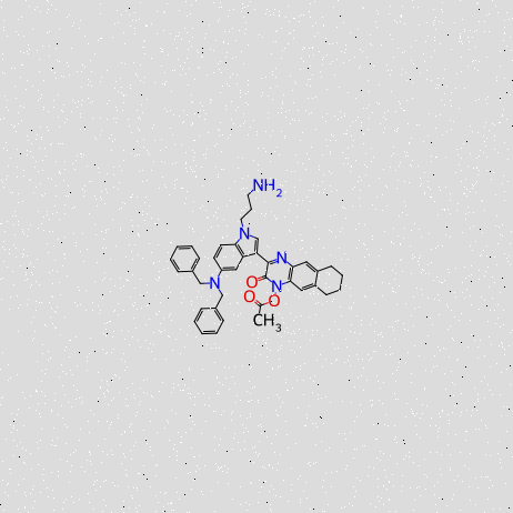 CC(=O)On1c(=O)c(-c2cn(CCCN)c3ccc(N(Cc4ccccc4)Cc4ccccc4)cc23)nc2cc3c(cc21)CCCC3